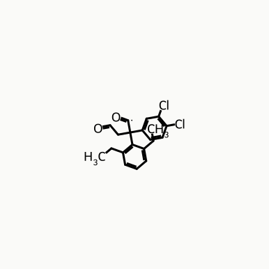 CCc1cccc(CC)c1C([C]=O)(CC=O)c1ccc(Cl)c(Cl)c1